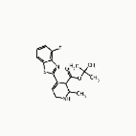 CC1NCC=C(c2nc3c(F)cccc3s2)C1C(=O)OC(C)(C)C